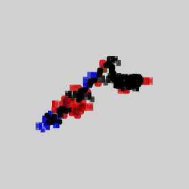 CC(CCC[C@@H](C)[C@H]1CC[C@H]2[C@@H]3[C@H](O)C[C@@H]4C[C@H](O)CC[C@]4(C)[C@H]3CC[C@]12C)C(=O)SCCNC(=O)CCNC(=O)[C@H](O)C(C)(C)COP(=O)(O)OP(=O)(O)OC[C@H]1O[C@@H](n2cnc3c(N)ncnc32)[C@H](O)[C@@H]1OP(=O)(O)O